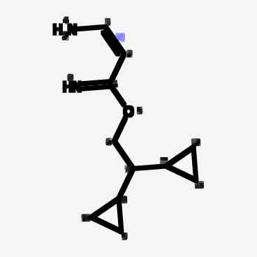 N=C(/C=C\N)OCC(C1CC1)C1CC1